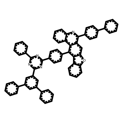 c1ccc(-c2ccc(-c3nc4ccccc4c4c(-c5ccc(-c6nc(-c7ccccc7)nc(-c7cc(-c8ccccc8)cc(-c8ccccc8)c7)n6)cc5)c5c(cc34)oc3ccccc35)cc2)cc1